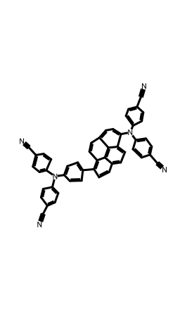 N#Cc1ccc(N(c2ccc(C#N)cc2)c2ccc(-c3ccc4ccc5c(N(c6ccc(C#N)cc6)c6ccc(C#N)cc6)ccc6ccc3c4c65)cc2)cc1